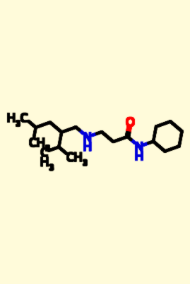 CC(C)CC(CNCCC(=O)NC1CCCCC1)C(C)C